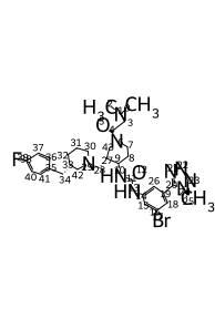 CN(C)CC(=O)N1CC[C@@H](NC(=O)Nc2cc(Br)cc(-c3nnnn3C)c2)[C@H](CN2CCC[C@@H](Cc3ccc(F)cc3)C2)C1